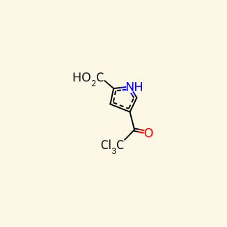 O=C(O)c1cc(C(=O)C(Cl)(Cl)Cl)c[nH]1